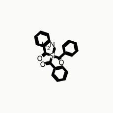 NC[Si](C(=O)c1ccccc1)(C(=O)c1ccccc1)C(=O)c1ccccc1